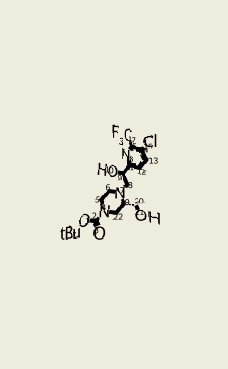 CC(C)(C)OC(=O)N1CCN(CC(O)c2ccc(Cl)c(C(F)(F)F)n2)[C@H](CO)C1